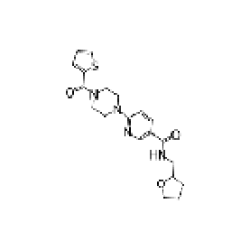 O=C(NCC1CCCO1)c1ccc(N2CCN(C(=O)c3cccs3)CC2)nc1